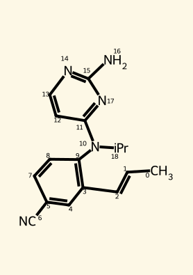 C/C=C/c1cc(C#N)ccc1N(c1ccnc(N)n1)C(C)C